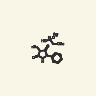 CC(=O)OCCO.CCCCC1C(=O)NN(c2ccccc2)C1=O.O.[Ag]